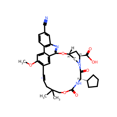 COc1cc2c3cc1/C=C/CC(C)(C)COC(=O)N[C@@H](C1CCCC1)C(=O)N1C[C@@H](C[C@H]1C(=O)O)Oc3nc1cc(C#N)ccc12